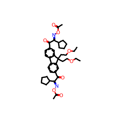 CCOCCC1(CCOCC)c2cc(C(=O)/C(=N/OC(C)=O)C3CCCC3)ccc2-c2ccc(C(=O)/C(=N/OC(C)=O)C3CCCC3)cc21